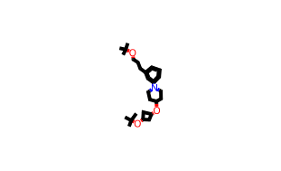 CC(C)(C)OCCCc1cccc(N2CCC(OC3CC(OC(C)(C)C)C3)CC2)c1